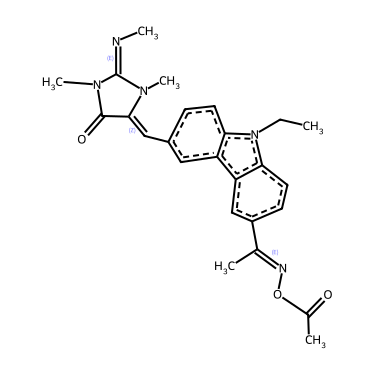 CCn1c2ccc(/C=C3/C(=O)N(C)/C(=N/C)N3C)cc2c2cc(/C(C)=N/OC(C)=O)ccc21